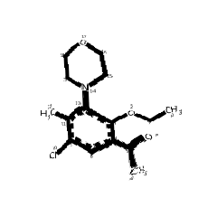 CCOc1c(C(C)=O)cc(Cl)c(C)c1N1CCOCC1